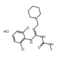 CNC(=O)NC(=NCN1CCCCC1)Nc1c(Cl)cccc1Cl.Cl